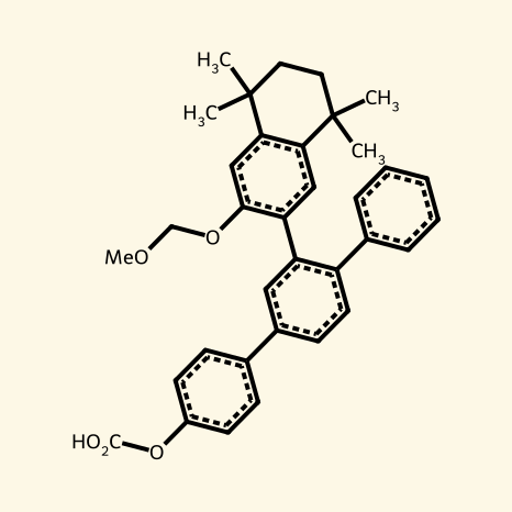 COCOc1cc2c(cc1-c1cc(-c3ccc(OC(=O)O)cc3)ccc1-c1ccccc1)C(C)(C)CCC2(C)C